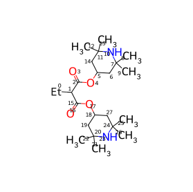 CCC(C(=O)OC1CC(C)(C)NC(C)(C)C1)C(=O)OC1CC(C)(C)NC(C)(C)C1